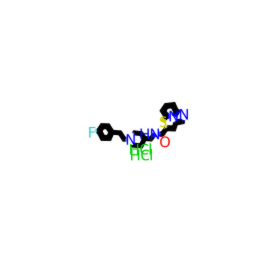 Cl.Cl.O=C(NCC1CCN(CCc2ccc(F)cc2)CC1)C1=Cc2cnc3cccc(n23)S1